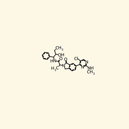 CCC(O)C(NC(=O)C(C)N1Cc2ccc(-c3nc(NC)ncc3Cl)cc2C1=O)c1ccccc1